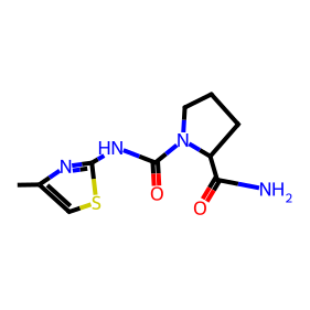 Cc1csc(NC(=O)N2CCCC2C(N)=O)n1